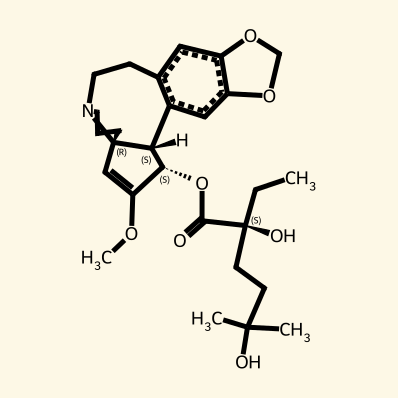 CC[C@](O)(CCC(C)(C)O)C(=O)O[C@@H]1C(OC)=C[C@]23CCCN2CCc2cc4c(cc2[C@H]13)OCO4